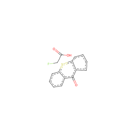 O=C(O)CF.O=c1c2ccccc2sc2ccccc12